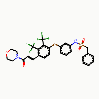 O=C(/C=C/c1ccc(Sc2cccc(NS(=O)(=O)Cc3ccccc3)c2)c(C(F)(F)F)c1C(F)(F)F)N1CCOCC1